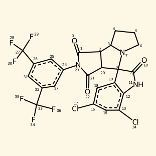 O=C1C2C3CCCN3C3(C(=O)Nc4c(Cl)cc(Cl)cc43)C2C(=O)N1c1cc(C(F)(F)F)cc(C(F)(F)F)c1